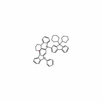 c1ccc(-n2c3ccccc3c3ccc(N(c4ccc5c(c4)C(C4CCCCC4)(C4CCCCC4)c4ccccc4-5)c4ccccc4C4CCCCC4)cc32)cc1